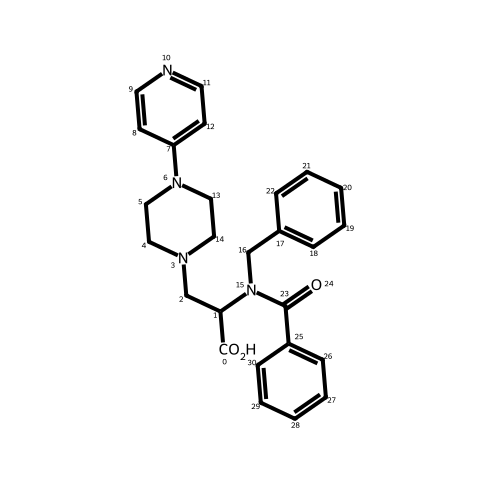 O=C(O)C(CN1CCN(c2ccncc2)CC1)N(Cc1ccccc1)C(=O)c1ccccc1